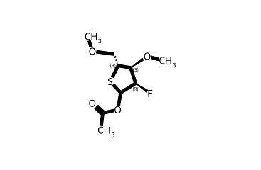 COC[C@H]1SC(OC(C)=O)[C@H](F)[C@@H]1OC